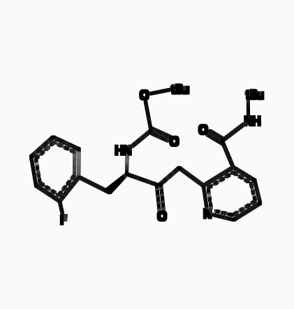 CC(C)(C)NC(=O)c1cccnc1CC(=O)[C@@H](Cc1ccccc1F)NC(=O)OC(C)(C)C